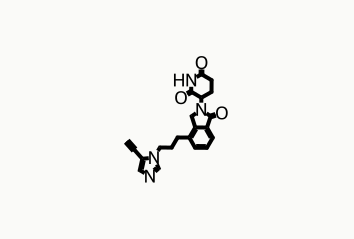 C#Cc1cncn1CCCc1cccc2c1CN(C1CCC(=O)NC1=O)C2=O